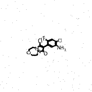 Nc1cc(-c2c(Cl)n3n(c2=O)CCOCC3)c(F)cc1Cl